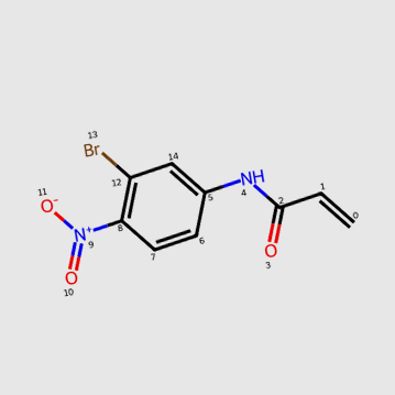 C=CC(=O)Nc1ccc([N+](=O)[O-])c(Br)c1